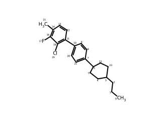 CCCC1CCC(c2ccc(-c3ccc(C)c(F)c3Cl)cc2)CC1